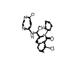 CC(Nc1cc(Cl)ncn1)c1cc2cccc(Cl)c2c(=O)n1-c1ccccc1